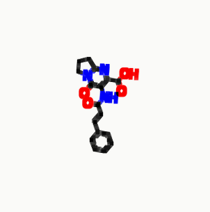 O=C(C=Cc1ccccc1)Nc1c(C(=O)O)nc2n(c1=O)CCC2